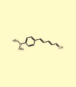 [CH]=CC=CC=Cc1ccc(N(CCCC)CCCC)cc1